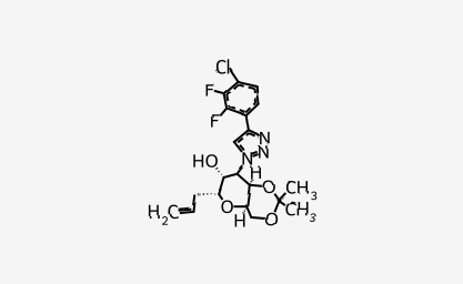 C=CC[C@H]1O[C@@H]2COC(C)(C)O[C@@H]2C(n2cc(-c3ccc(Cl)c(F)c3F)nn2)[C@H]1O